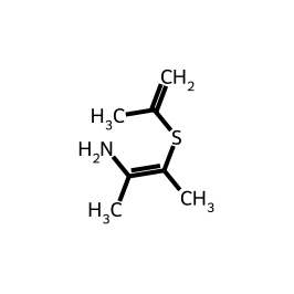 C=C(C)SC(C)=C(C)N